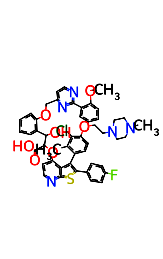 COc1ccccc1-c1nccc(COc2ccccc2C(O)C(Oc2ccnc3sc(-c4ccc(F)cc4)c(-c4ccc(OCCN5CCN(C)CC5)c(Cl)c4C)c23)C(=O)O)n1